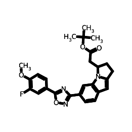 COc1ccc(-c2nc(-c3ccc4cc5n(c4c3)C(CC(=O)OC(C)(C)C)CC5)no2)cc1F